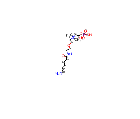 C[N+](C)(CCOCCNC(=O)CCCCCN)CCOP(=O)(O)O